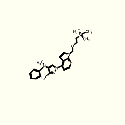 Cc1nn(-c2ccnc3c2ccn3COCC[Si](C)(C)C)cc1N(C)c1ccccc1